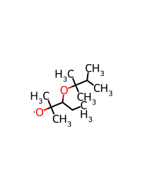 CCC(OC(C)(C)C(C)C)C(C)(C)[O]